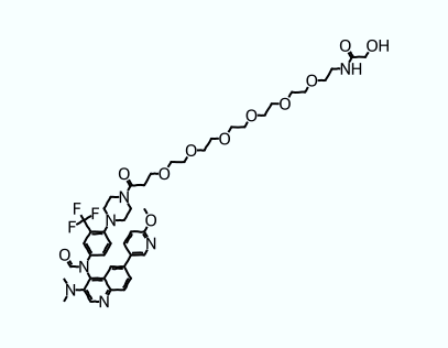 COc1ccc(-c2ccc3ncc(N(C)C)c(N(C=O)c4ccc(N5CCN(C(=O)CCOCCOCCOCCOCCOCCOCCNC(=O)CO)CC5)c(C(F)(F)F)c4)c3c2)cn1